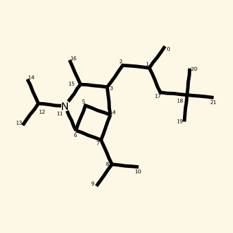 CC(CC1C2CC(C2C(C)C)N(C(C)C)C1C)CC(C)(C)C